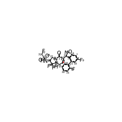 O=C1N(c2noc3cc(F)cc(-c4c(F)cccc4F)c23)CC[C@H]2N1C[C@@H](NS(=O)(=O)CF)C2(F)F